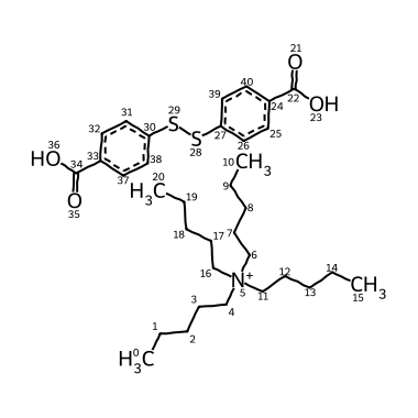 CCCCC[N+](CCCCC)(CCCCC)CCCCC.O=C(O)c1ccc(SSc2ccc(C(=O)O)cc2)cc1